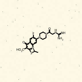 CC1Sc2c(C(=O)O)c(=O)c3cc(F)c(N4CCN(C(=O)CNC(=N)N)CC4)cc3n21